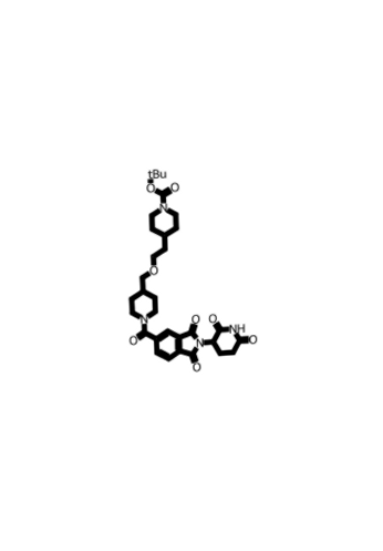 CC(C)(C)OC(=O)N1CCC(CCOCC2CCN(C(=O)c3ccc4c(c3)C(=O)N(C3CCC(=O)NC3=O)C4=O)CC2)CC1